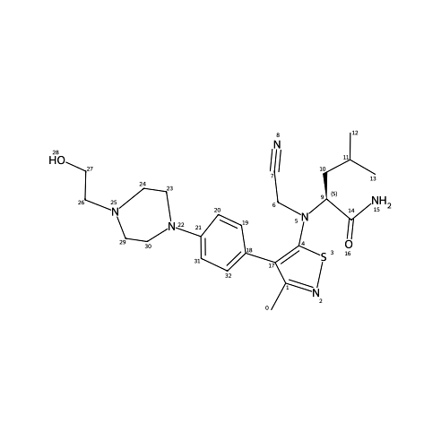 Cc1nsc(N(CC#N)[C@@H](CC(C)C)C(N)=O)c1-c1ccc(N2CCN(CCO)CC2)cc1